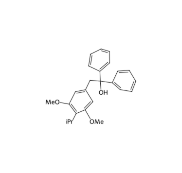 COc1cc(CC(O)(c2ccccc2)c2ccccc2)cc(OC)c1C(C)C